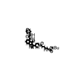 CC(C)(C)OC(=O)NCCCCC(=O)N1CCC(C2=C3C(=O)c4c(NC(=O)NN5CCOCC5)cccc4C3N=N2)CC1